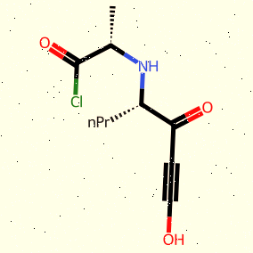 CCC[C@H](N[C@@H](C)C(=O)Cl)C(=O)C#CO